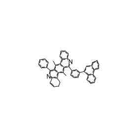 Cc1c2c3c(nc(-c4ccccc4)c2c(C)c2c1c(-c1cccc(-c4cc5ccccc5c5ccccc45)c1)nc1ccccc12)C=CCC3